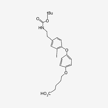 CC(C)(C)OC(=O)NCCc1ccc(Oc2ccc(OCCCCC(=O)O)cc2)c(I)c1